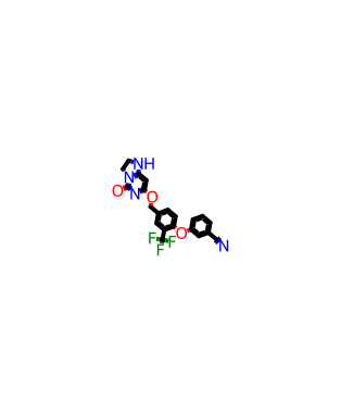 N#Cc1cccc(Oc2ccc(COc3cc4n(c(=O)n3)CCN4)cc2C(F)(F)F)c1